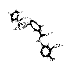 O=C(Nc1ccc(F)c(Cl)c1)c1cccc(NS(=O)(=O)c2cccs2)c1